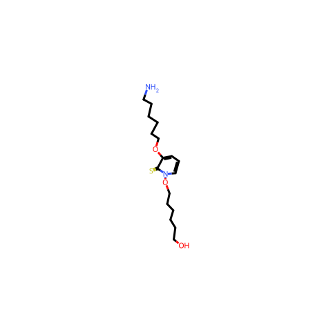 NCCCCCCOc1cccn(OCCCCCCO)c1=S